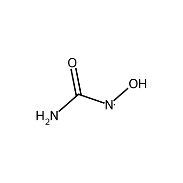 NC(=O)[N]O